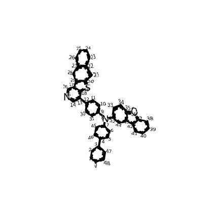 c1ccc(-c2ccc(N(c3ccc(-c4cncc5c4sc4cc6ccccc6cc45)cc3)c3ccc4oc5ccccc5c4c3)cc2)cc1